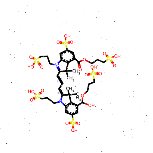 CC1(C)C(/C=C/C=C2/N(CCCS(=O)(=O)O)c3cc(S(=O)(=O)O)cc(C(O)OCCCS(=O)(=O)O)c3C2(C)C)=[N+](CCCS(=O)(=O)O)c2cc(S(=O)(=O)O)cc(C(=O)OCCCS(=O)(=O)O)c21